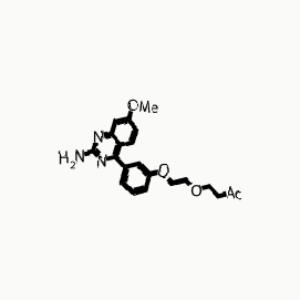 COc1ccc2c(-c3cccc(OCCOCCC(C)=O)c3)nc(N)nc2c1